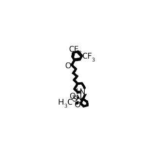 CS(=O)(=O)NC1(CN2CCC(CCCCC(=O)c3cc(C(F)(F)F)cc(C(F)(F)F)c3)CC2)CCCC1